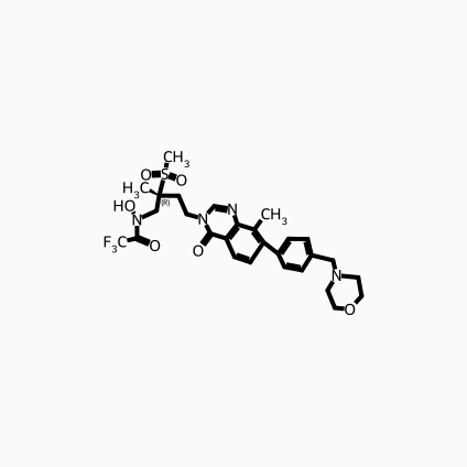 Cc1c(-c2ccc(CN3CCOCC3)cc2)ccc2c(=O)n(CC[C@](C)(CN(O)C(=O)C(F)(F)F)S(C)(=O)=O)cnc12